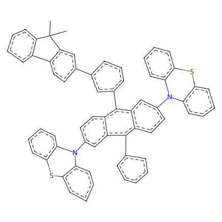 CC1(C)c2ccccc2-c2ccc(-c3cccc(-c4c5ccc(N6c7ccccc7Sc7ccccc76)cc5c(-c5ccccc5)c5ccc(N6c7ccccc7Sc7ccccc76)cc45)c3)cc21